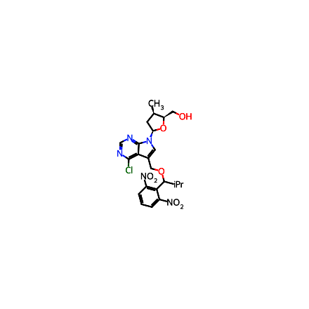 CC(C)C(OCc1cn([C@H]2C[C@@H](C)[C@@H](CO)O2)c2ncnc(Cl)c12)c1c([N+](=O)[O-])cccc1[N+](=O)[O-]